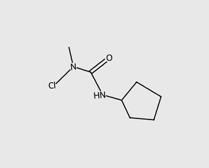 CN(Cl)C(=O)NC1CCCC1